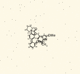 COc1cn2c(COC(=O)C3(c4ccc(-c5ccccc5C(=O)O)cc4)CCCCC3)ccc(C)c2n1